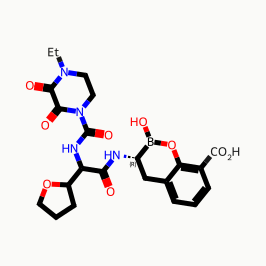 CCN1CCN(C(=O)NC(C(=O)N[C@H]2Cc3cccc(C(=O)O)c3OB2O)C2CCCO2)C(=O)C1=O